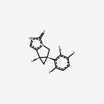 Fc1ccc(F)c([C@@]23C[C@@H]2c2c[nH]c(=S)n2C3)c1F